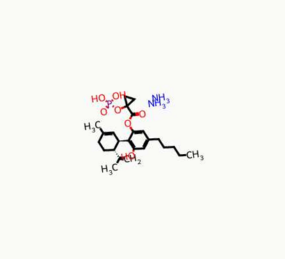 C=C(C)[C@@H]1CCC(C)=C[C@H]1c1c(O)cc(CCCCC)cc1OC(=O)C1(OP(=O)(O)O)CC1.N.N